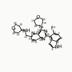 Fc1ccc2[nH]ccc2c1-c1nc(N2CCOCC2)c2nc(CNC3CCOCC3)ccc2n1